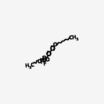 CCCCCCCCCOc1ccc(-c2ccc(C(=O)OC(COCCCC)C(F)(F)F)cc2)cc1